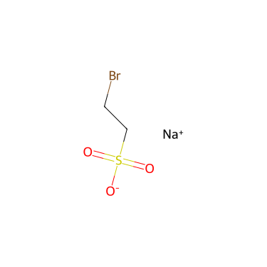 O=S(=O)([O-])CCBr.[Na+]